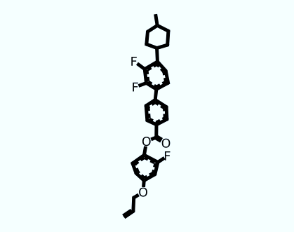 C=CCOc1ccc(OC(=O)c2ccc(-c3ccc(C4CCC(C)CC4)c(F)c3F)cc2)c(F)c1